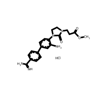 COC(=O)CCN1CCN(c2ccc(-c3ccc(C(=N)N)cc3)cc2N)C1=O.Cl